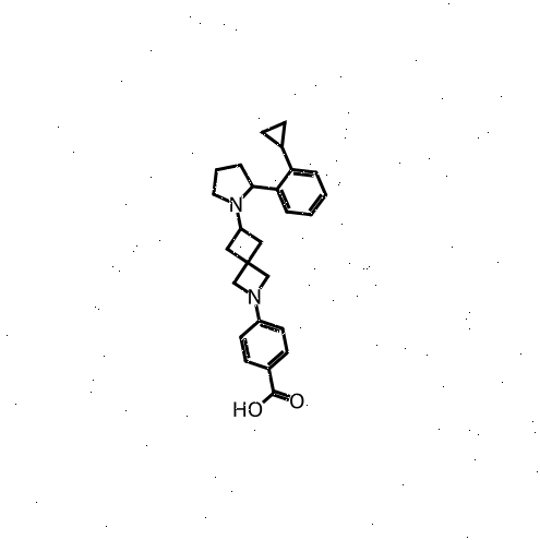 O=C(O)c1ccc(N2CC3(CC(N4CCCC4c4ccccc4C4CC4)C3)C2)cc1